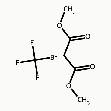 COC(=O)CC(=O)OC.FC(F)(F)Br